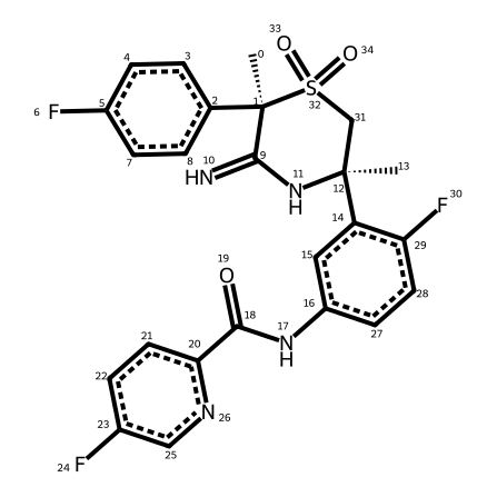 C[C@@]1(c2ccc(F)cc2)C(=N)N[C@](C)(c2cc(NC(=O)c3ccc(F)cn3)ccc2F)CS1(=O)=O